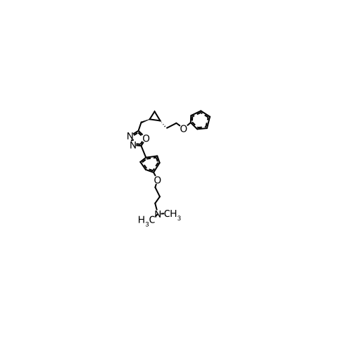 CN(C)CCCOc1ccc(-c2nnc(C[C@H]3C[C@@H]3CCOc3ccccc3)o2)cc1